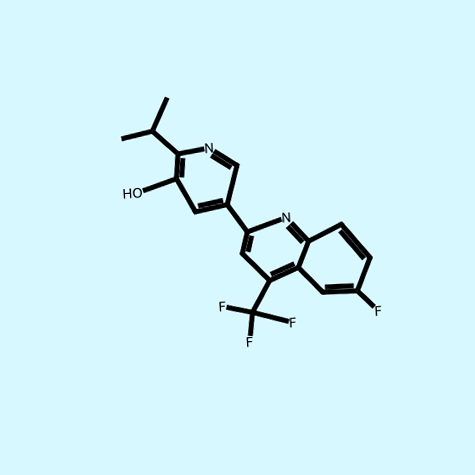 CC(C)c1ncc(-c2cc(C(F)(F)F)c3cc(F)ccc3n2)cc1O